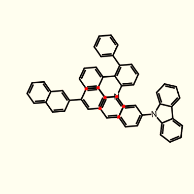 c1ccc(-c2ccccc2-c2c(-c3ccccc3)cccc2N(c2ccc(-c3ccc4ccccc4c3)cc2)c2cccc(-n3c4ccccc4c4ccccc43)c2)cc1